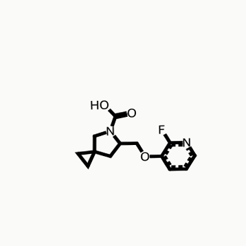 O=C(O)N1CC2(CC2)CC1COc1cccnc1F